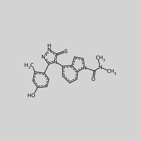 Cc1cc(O)ccc1-c1n[nH]c(=S)n1-c1cccc2c1ccn2C(=O)N(C)C